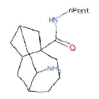 CCCCCNC(=O)C12CCCC3CC1CC(C2)C3N